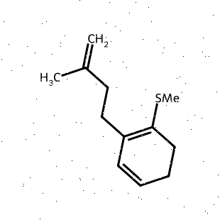 C=C(C)CCC1=C(SC)CCC=C1